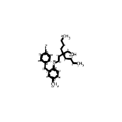 CCCCC(CO)(CCCC)CCSc1ccc(C)cc1Cc1ccc(F)cc1